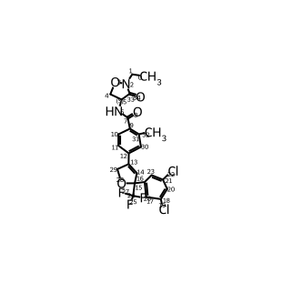 CCN1OC[C@H](NC(=O)c2ccc(C3=CC(c4cc(Cl)cc(Cl)c4)(C(F)(F)F)OC3)cc2C)C1=O